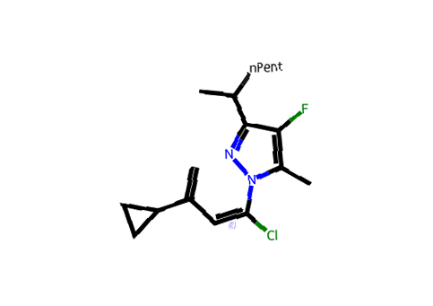 C=C(/C=C(/Cl)n1nc(C(C)CCCCC)c(F)c1C)C1CC1